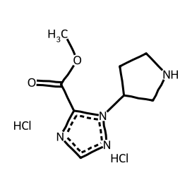 COC(=O)c1ncnn1C1CCNC1.Cl.Cl